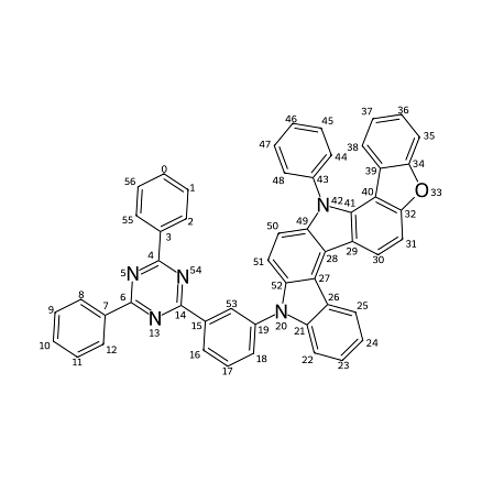 c1ccc(-c2nc(-c3ccccc3)nc(-c3cccc(-n4c5ccccc5c5c6c7ccc8oc9ccccc9c8c7n(-c7ccccc7)c6ccc54)c3)n2)cc1